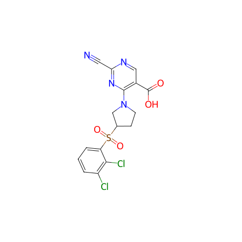 N#Cc1ncc(C(=O)O)c(N2CCC(S(=O)(=O)c3cccc(Cl)c3Cl)C2)n1